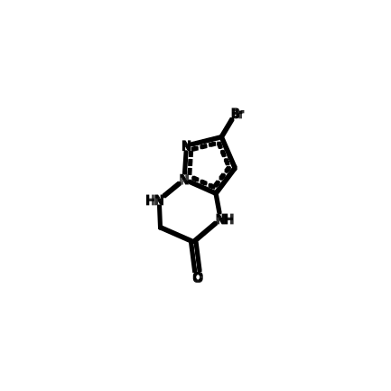 O=C1CNn2nc(Br)cc2N1